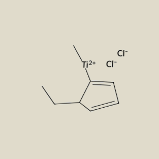 CCC1C=CC=[C]1[Ti+2][CH3].[Cl-].[Cl-]